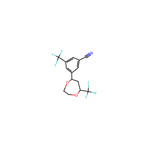 N#Cc1cc(C2CC(C(F)(F)F)OCCO2)cc(C(F)(F)F)c1